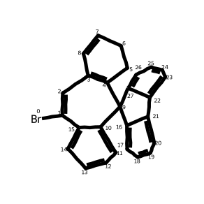 BrC1=CC2=C(CCC=C2)C2(c3ccccc31)c1ccccc1-c1ccccc12